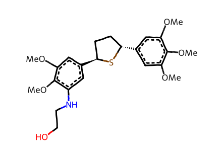 COc1cc([C@H]2CC[C@H](c3cc(OC)c(OC)c(OC)c3)S2)cc(NCCO)c1OC